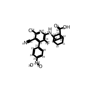 N#Cc1c(Cl)nc(NC2C3CCC(CC3)C2C(=O)O)c(F)c1-c1ccc([N+](=O)[O-])cc1